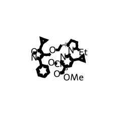 CCC1CC[C@@H](CCOCc2c(-c3ccccc3OC(F)(F)F)noc2C2CC2)N1c1ncc(C(=O)OC)cc1C1CC1